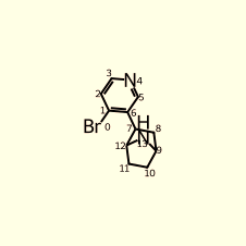 Brc1ccncc1C1CC2CCC1N2